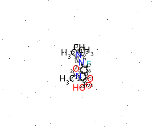 C[C@H]1COc2c(N3CCN(C(C)(C)C)CC3)c(F)cc3c(=O)c(C(=O)O)cn1c23